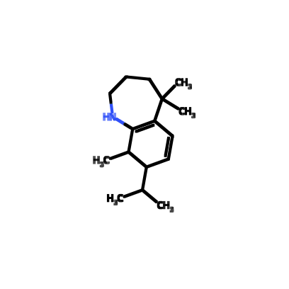 CC(C)C1C=CC2=C(NCCCC2(C)C)C1C